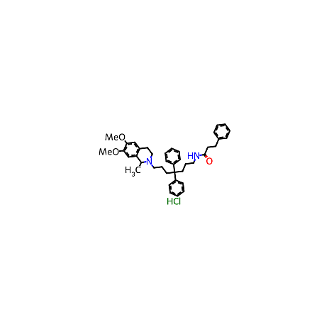 COc1cc2c(cc1OC)C(C)N(CCCC(CCCNC(=O)CCc1ccccc1)(c1ccccc1)c1ccccc1)CC2.Cl